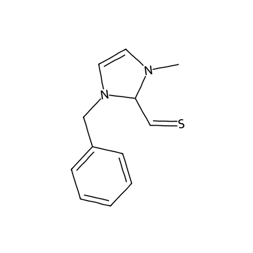 CN1C=CN(Cc2ccccc2)C1C=S